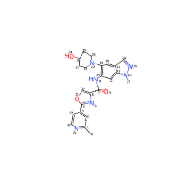 Cc1cc(-c2nc(C(=O)Nc3cc4c(cnn4C)cc3N3CCC(O)CC3)co2)ccn1